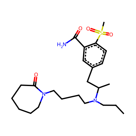 CCCN(CCCCN1CCCCCC1=O)C(C)Cc1ccc(S(C)(=O)=O)c(C(N)=O)c1